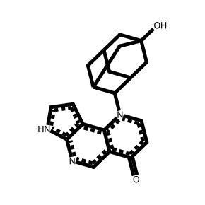 O=c1ccn(C2C3CC4CC2CC(O)(C4)C3)c2c1cnc1[nH]ccc12